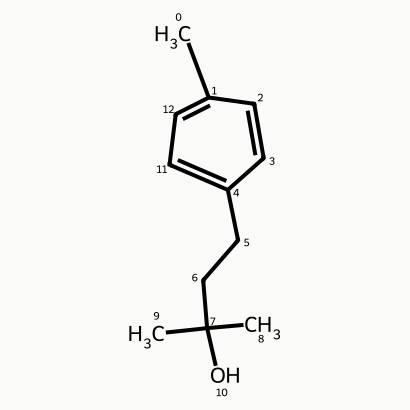 Cc1ccc(CCC(C)(C)O)cc1